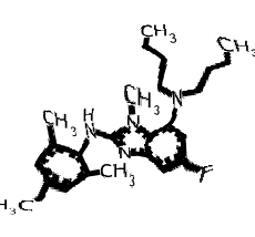 CCCCN(CCCC)c1cc(F)cc2nc(Nc3c(C)cc(C)cc3C)n(C)c12